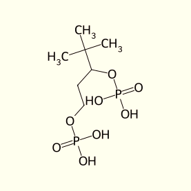 CC(C)(C)C(CCOP(=O)(O)O)OP(=O)(O)O